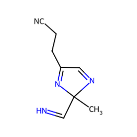 CC1(C=N)N=CC(CCC#N)=N1